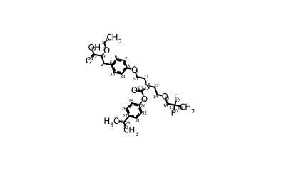 CCOC(Cc1ccc(OCCN(CCOCC(C)(F)F)C(=O)Oc2ccc(C(C)C)cc2)cc1)C(=O)O